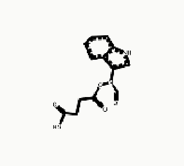 O=CN(OC(=O)CCC(=O)O)c1c[nH]c2ccccc12